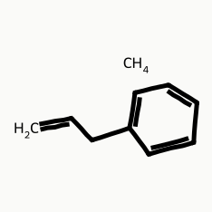 C.C=CCc1ccccc1